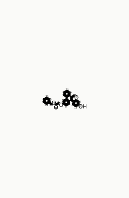 O=C(COc1ccc([C@@H]2c3ccc(O)cc3OC[C@@H]2c2ccccc2)cc1)OCc1ccccc1